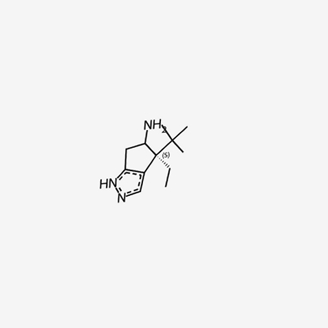 CC[C@]1(C(C)(C)C)c2cn[nH]c2CC1N